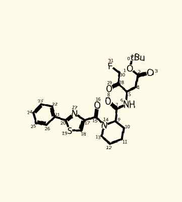 CC(C)(C)OC(=O)CC(NC(=O)C1CCCCN1C(=O)c1csc(-c2ccccc2)n1)C(=O)CF